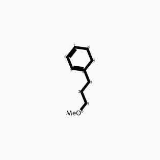 COCCCC1=CC=CCC1